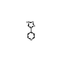 [c]1cnccc1-c1c[nH]nn1